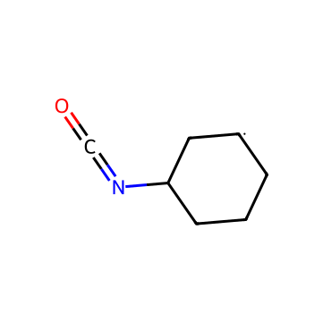 O=C=NC1C[CH]CCC1